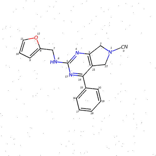 N#CN1Cc2nc(NCc3ccco3)nc(-c3ccccc3)c2C1